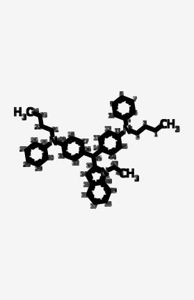 CCCCN(c1ccccc1)c1ccc(C(c2ccc(N(CCCC)c3ccccc3)cc2)c2cc3ccccc3n2CC)cc1